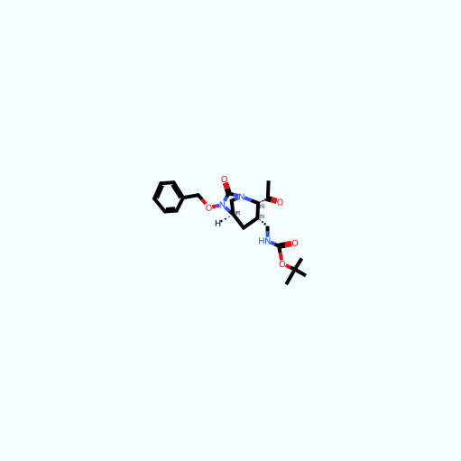 CC(=O)[C@@H]1[C@H](CNC(=O)OC(C)(C)C)C[C@@H]2CN1C(=O)N2OCc1ccccc1